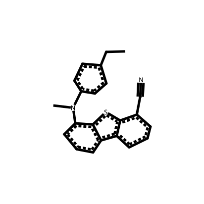 CCc1ccc(N(C)c2cccc3c2sc2c(C#N)cccc23)cc1